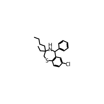 CCCCC1(CC)CSc2ccc(Cl)cc2C(c2ccccc2)N1